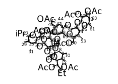 CC[C@@H](OC(C)=O)[C@@H](OC(C)=O)[C@@H]1O[C@@]2(CC(C)C1C)O[C@@H]1C(OC2=O)[C@H](O[C@@H]2C(COC(C)=O)O[C@@H](C(C)C)C(C)[C@H]2C)OC(COC(C)=O)[C@@H]1O[C@@H]1OC(COC(C)=O)[C@H](C)[C@H](O[C@@H]2OC(COC(C)=O)[C@H](C)[C@H](C)C2O[C@@H]2OC(C)[C@@H](C)[C@H](OC(C)=O)C2OC(C)=O)C1C